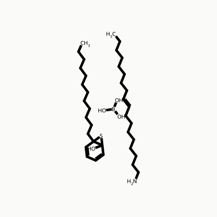 CCCCCCCCC=CCCCCCCCCN.CCCCCCCCCCCCC12C=CC=CC1(O)S2.OB(O)O